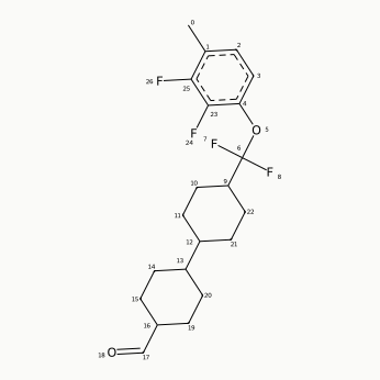 Cc1ccc(OC(F)(F)C2CCC(C3CCC(C=O)CC3)CC2)c(F)c1F